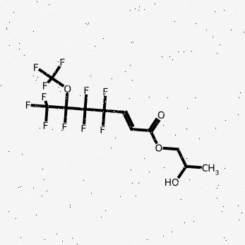 CC(O)COC(=O)C=CC(F)(F)C(F)(F)C(F)(OC(F)(F)F)C(F)(F)F